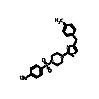 Cc1ccc(Cc2csc(N3CCN(S(=O)(=O)c4ccc(C(C)(C)C)cc4)CC3)n2)cc1